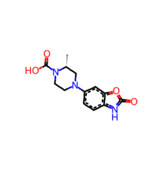 C[C@@H]1CN(c2ccc3[nH]c(=O)oc3c2)CCN1C(=O)O